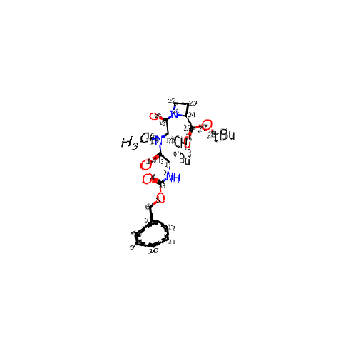 CC[C@H](C)[C@H](NC(=O)OCc1ccccc1)C(=O)N(C)[C@@H](C)C(=O)N1CC[C@H]1C(=O)OC(C)(C)C